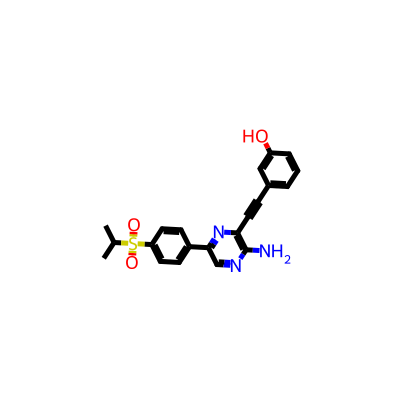 CC(C)S(=O)(=O)c1ccc(-c2cnc(N)c(C#Cc3cccc(O)c3)n2)cc1